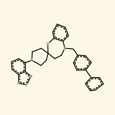 c1ccc(-c2ccc(CN3CCC4(CCN(c5cccc6nsnc56)CC4)Oc4ccccc43)cc2)cc1